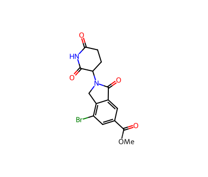 COC(=O)c1cc(Br)c2c(c1)C(=O)N(C1CCC(=O)NC1=O)C2